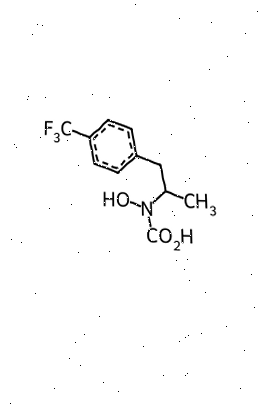 CC(Cc1ccc(C(F)(F)F)cc1)N(O)C(=O)O